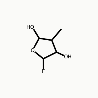 CC1C(O)OC(F)C1O